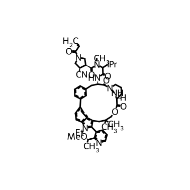 C=CC(=O)N1C[C@H](C#N)[C@H](C(=O)N(C)C(C(=O)N[C@H]2Cc3cccc(c3)-c3ccc4c(c3)c(c(-c3cccnc3[C@H](C)OC)n4CC)CC(C)(C)COC(=O)[C@@H]3CCCN(N3)C2=O)C(C)C)C1